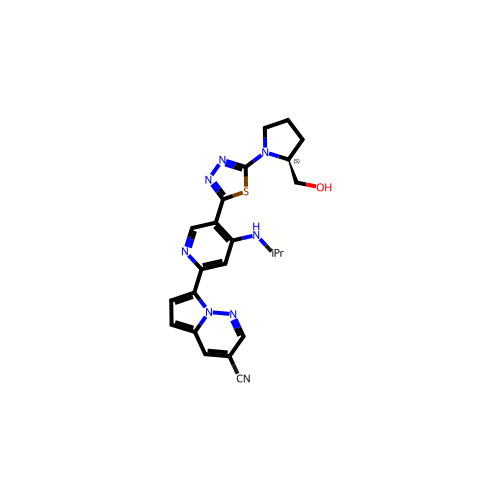 CC(C)Nc1cc(-c2ccc3cc(C#N)cnn23)ncc1-c1nnc(N2CCC[C@H]2CO)s1